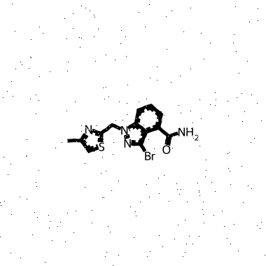 Cc1csc(Cn2nc(Br)c3c(C(N)=O)cccc32)n1